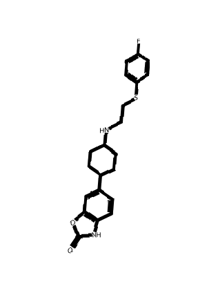 O=c1[nH]c2ccc(C3CCC(NCCSc4ccc(F)cc4)CC3)cc2o1